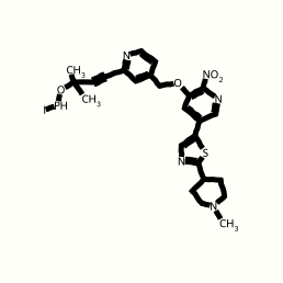 CN1CCC(c2ncc(-c3cnc([N+](=O)[O-])c(OCc4ccnc(C#CC(C)(C)OPI)c4)c3)s2)CC1